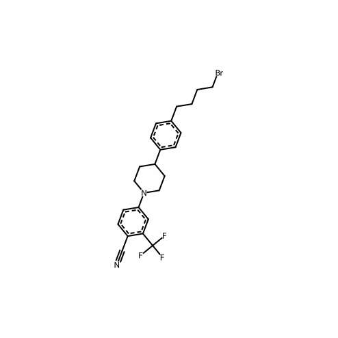 N#Cc1ccc(N2CCC(c3ccc(CCCCBr)cc3)CC2)cc1C(F)(F)F